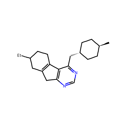 CCC1CCC2=C(Cc3ncnc(C[C@H]4CC[C@H](C)CC4)c32)C1